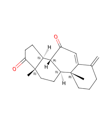 C=C1CCC[C@@]2(C)C1=CC(=O)[C@@H]1[C@@H]2CC[C@]2(C)C(=O)CC[C@@H]12